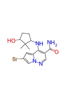 CC1(C)C(O)CCC1Nc1c(C(N)=O)cnn2cc(Br)cc12